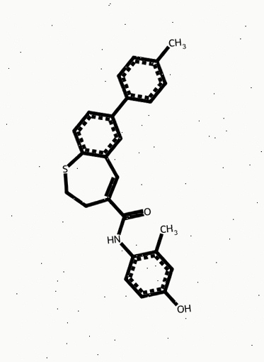 Cc1ccc(-c2ccc3c(c2)C=C(C(=O)Nc2ccc(O)cc2C)CCS3)cc1